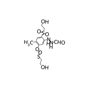 Cc1cc(S(=O)(=O)CCO)c(NNC=O)cc1OOSCCO